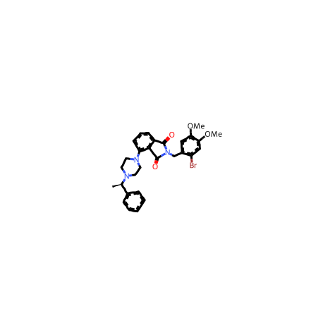 COc1cc(Br)c(CN2C(=O)c3cccc(N4CCN([C@H](C)c5ccccc5)CC4)c3C2=O)cc1OC